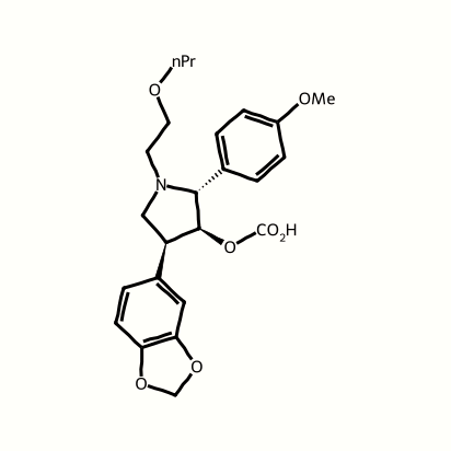 CCCOCCN1C[C@H](c2ccc3c(c2)OCO3)[C@H](OC(=O)O)[C@H]1c1ccc(OC)cc1